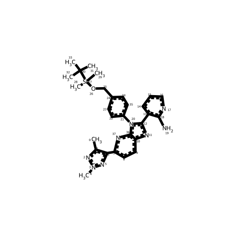 Cc1nn(C)nc1-c1ccc2nc(-c3cccnc3N)n(-c3ccc(CO[Si](C)(C)C(C)(C)C)cc3)c2n1